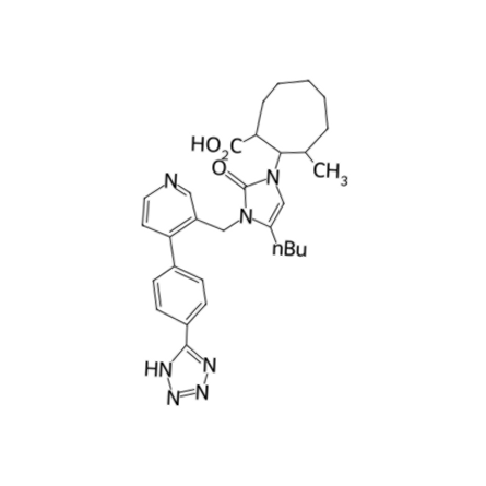 CCCCc1cn(C2C(C)CCCCCC2C(=O)O)c(=O)n1Cc1cnccc1-c1ccc(-c2nnn[nH]2)cc1